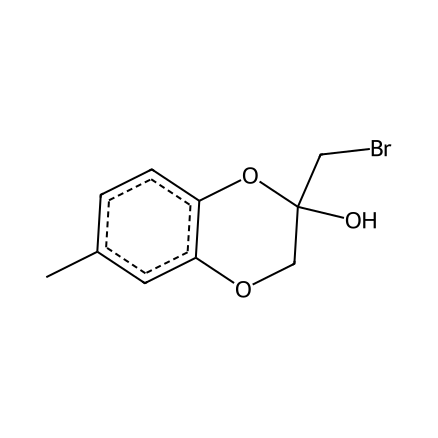 Cc1ccc2c(c1)OCC(O)(CBr)O2